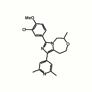 COc1ccc(-c2nc(-c3cc(C)nc(C)c3)c3n2CC(C)OCC3)cc1Cl